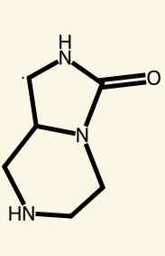 O=C1N[CH]C2CNCCN12